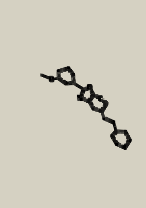 COc1cccc(-c2nc3cc(/C=C/c4ccccc4)ccc3o2)c1